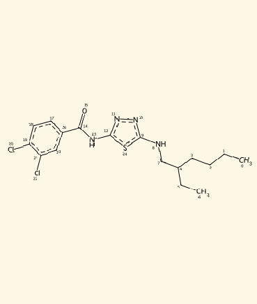 CCCCC(CC)CNc1nnc(NC(=O)c2ccc(Cl)c(Cl)c2)s1